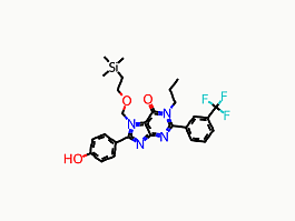 CCCn1c(-c2cccc(C(F)(F)F)c2)nc2nc(-c3ccc(O)cc3)n(COCC[Si](C)(C)C)c2c1=O